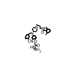 Cc1cccc(C)c1C(=O)NCCC(C)N1CCC(N(Cc2cccc(C#N)c2)c2ccc(OCC(=O)NN)cc2)CC1